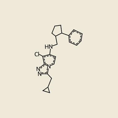 Clc1c(NCC2CCCC2c2ccccc2)ccn2c(CC3CC3)nnc12